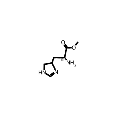 COC(=O)[C@@H](N)CC1CNC=N1